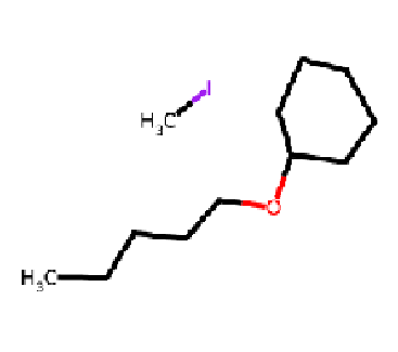 CCCCCOC1CCCCC1.CI